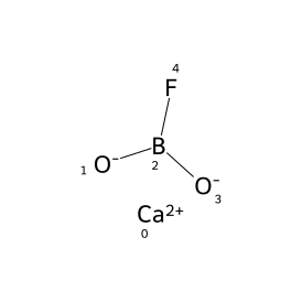 [Ca+2].[O-]B([O-])F